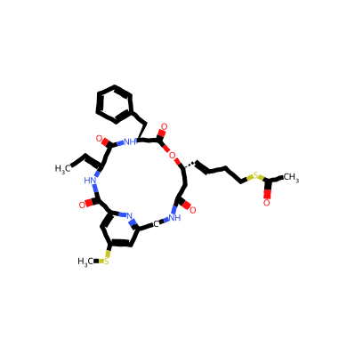 C/C=C1\NC(=O)c2cc(SC)cc(n2)CNC(=O)C[C@@H](/C=C/CCSC(C)=O)OC(=O)[C@H](Cc2ccccc2)NC1=O